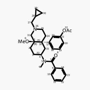 CO[C@]12CC[C@H](N(C)C(=O)c3ccccc3)C[C@]1(c1cccc(OC(C)=O)c1)CCN(CC1CC1)C2